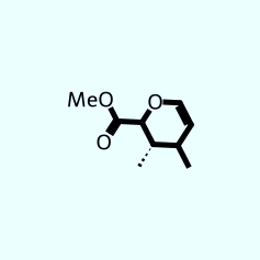 COC(=O)C1OC=CC(C)[C@@H]1C